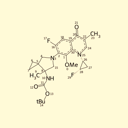 COc1c(N2CC3(CC3)C(C)(NC(=O)OC(C)(C)C)C2)c(F)cc2c(=O)c(C)cn([C@@H]3C[C@@H]3F)c12